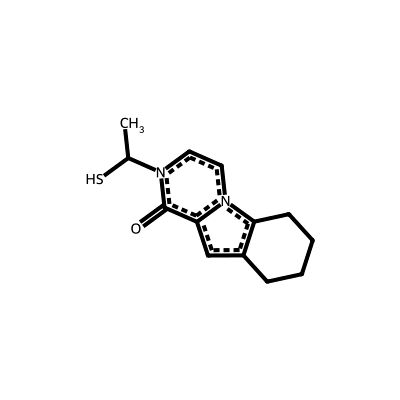 CC(S)n1ccn2c3c(cc2c1=O)CCCC3